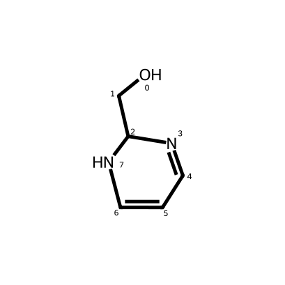 OCC1N=CC=CN1